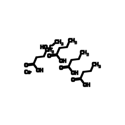 CC(=O)O.CCCC(=O)O.CCCC(=O)O.CCCC(=O)O.CCCC(=O)O.[Co]